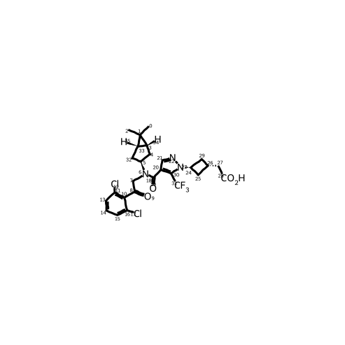 CC1(C)[C@@H]2C[C@@H](N(CC(=O)c3c(Cl)cccc3Cl)C(=O)c3cnn([C@H]4C[C@@H](CC(=O)O)C4)c3C(F)(F)F)C[C@@H]21